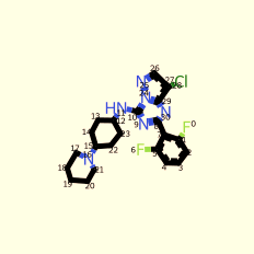 Fc1cccc(F)c1-c1nc(NC2CCC(N3CCCCC3)CC2)n2ncc(Cl)c2n1